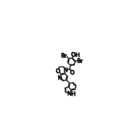 O=C(c1cc(Br)c(O)c(Br)c1)N1CCOc2ncc(-c3cccc4[nH]ccc34)cc21